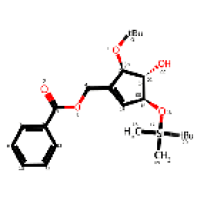 CC(C)(C)O[C@@H]1C(COC(=O)c2ccccc2)=C[C@H](O[Si](C)(C)C(C)(C)C)[C@H]1O